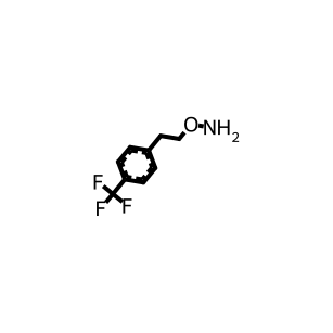 NOCCc1ccc(C(F)(F)F)cc1